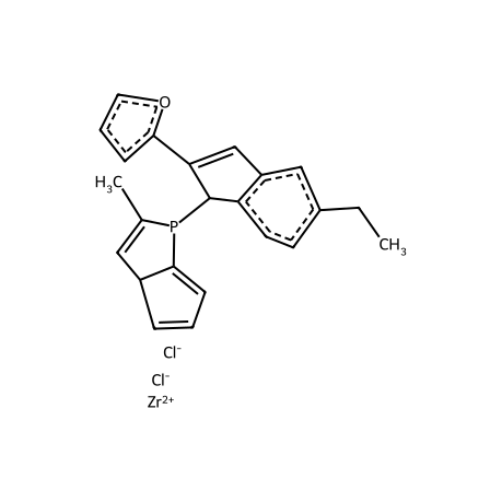 CCc1ccc2c(c1)C=C(c1ccco1)C2P1C(C)=CC2C=CC=C21.[Cl-].[Cl-].[Zr+2]